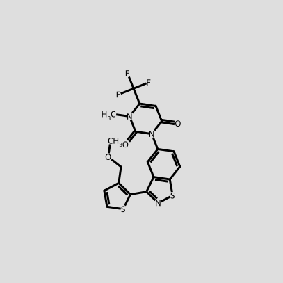 COCc1ccsc1-c1nsc2ccc(-n3c(=O)cc(C(F)(F)F)n(C)c3=O)cc12